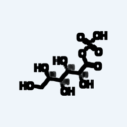 O=C(OS(=O)(=O)O)[C@H](O)[C@@H](O)[C@H](O)[C@H](O)CO